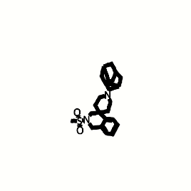 CS(=O)(=O)N1Cc2ccccc2C2(CCN(C3C4CC5CC(C4)CC3C5)CC2)C1